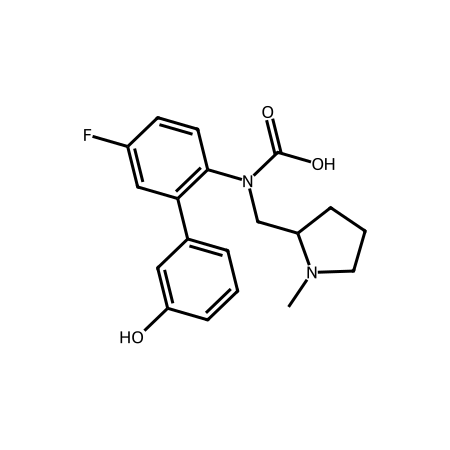 CN1CCCC1CN(C(=O)O)c1ccc(F)cc1-c1cccc(O)c1